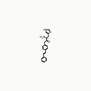 N[C@@H](Cc1c[nH]cn1)C(=O)Cc1ccc(C=Cc2ccccc2)cc1